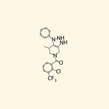 CC1CN(C(=O)c2cccc(C(F)(F)F)c2Cl)CC2=C1N(c1ccccc1)NN2